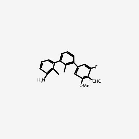 COc1cc(-c2cccc(-c3cccc(N)c3C)c2C)cc(F)c1C=O